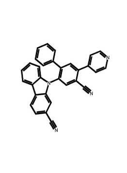 N#Cc1ccc2c3ccccc3n(-c3cc(C#N)c(-c4ccncc4)cc3-c3ccccc3)c2c1